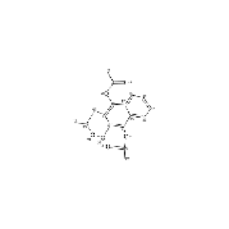 CC(=O)Oc1c2c(c(OC(C)=O)c3ccccc13)OOC(C)C2